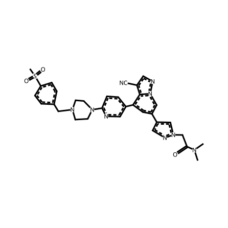 CN(C)C(=O)Cn1cc(-c2cc(-c3ccc(N4CCN(Cc5ccc(S(C)(=O)=O)cc5)CC4)nc3)c3c(C#N)cnn3c2)cn1